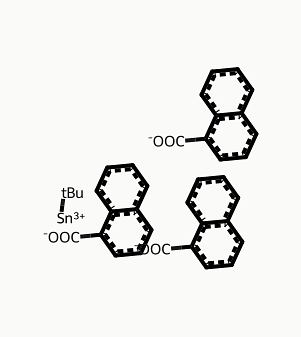 C[C](C)(C)[Sn+3].O=C([O-])c1cccc2ccccc12.O=C([O-])c1cccc2ccccc12.O=C([O-])c1cccc2ccccc12